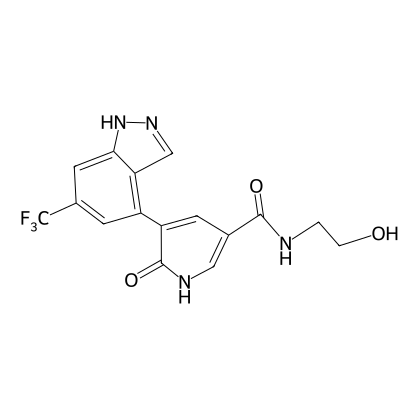 O=C(NCCO)c1c[nH]c(=O)c(-c2cc(C(F)(F)F)cc3[nH]ncc23)c1